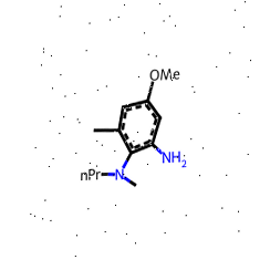 CCCN(C)c1c(C)cc(OC)cc1N